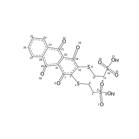 O=c1c(SCCS(=O)(=O)O)c(SCCS(=O)(=O)O)c(=O)c2c(=O)c3ccccc3c(=O)c1=2